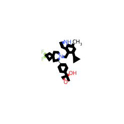 Cc1cc(C2CC2)c(CN2CCC3(C[C@H]2c2ccc(C4(O)COC4)cc2)CC(F)(F)C3)c2cc[nH]c12